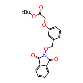 CC(C)(C)OC(=O)COc1cccc(CON2C(=O)c3ccccc3C2=O)c1